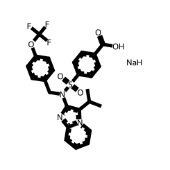 CC(C)c1c(N(Cc2ccc(OC(F)(F)F)cc2)S(=O)(=O)c2ccc(C(=O)O)cc2)nc2ccccn12.[NaH]